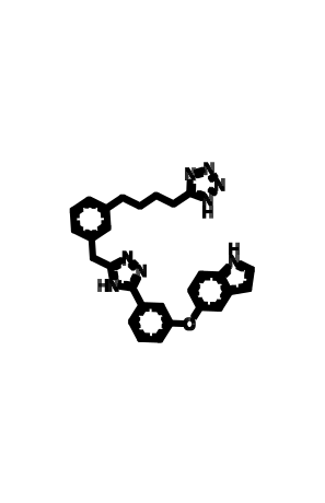 c1cc(CCCCc2nnn[nH]2)cc(Cc2nnc(-c3cccc(Oc4ccc5[nH]ccc5c4)c3)[nH]2)c1